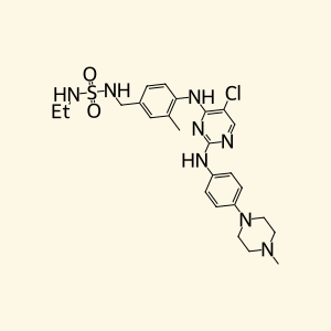 CCNS(=O)(=O)NCc1ccc(Nc2nc(Nc3ccc(N4CCN(C)CC4)cc3)ncc2Cl)c(C)c1